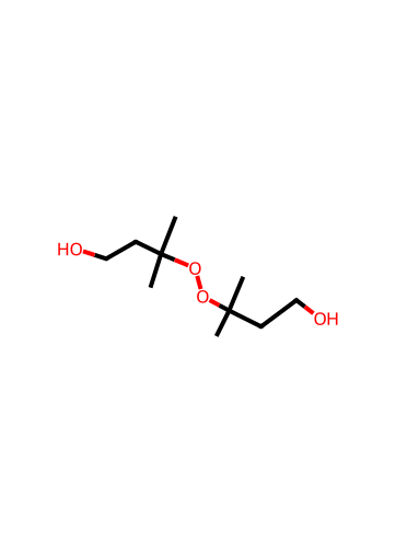 CC(C)(CCO)OOC(C)(C)CCO